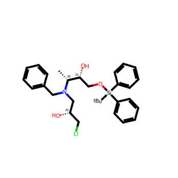 C[C@H]([C@H](O)CO[Si](c1ccccc1)(c1ccccc1)C(C)(C)C)N(Cc1ccccc1)C[C@@H](O)CCl